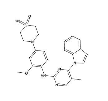 COc1cc(N2CCS(=N)(=O)CC2)ccc1Nc1ncc(C)c(-n2ccc3ccccc32)n1